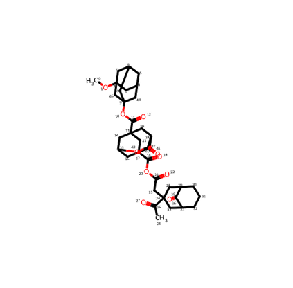 COC12CC3CC(C1)CC(OC(=O)C14CC5CC(C(=O)OC(=O)CC6(C(C)=O)CC7CCCC(C6)C7=O)(CC(C1)C(=O)O5)C4)(C3)C2